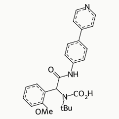 COc1ccccc1C(C(=O)Nc1ccc(-c2ccncc2)cc1)N(C(=O)O)C(C)(C)C